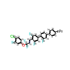 CCCc1ccc(-c2ccc(-c3cc(F)c(/C=C/C(F)(F)Oc4ccc(Cl)c(F)c4)c(F)c3)c(F)c2)cc1